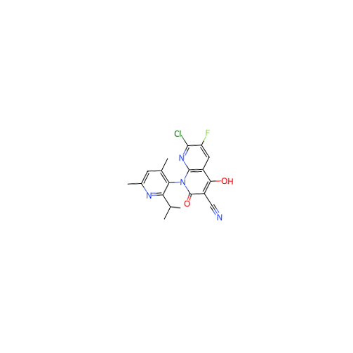 Cc1cc(C)c(-n2c(=O)c(C#N)c(O)c3cc(F)c(Cl)nc32)c(C(C)C)n1